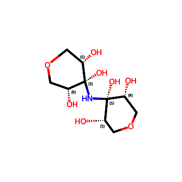 O[C@@H]1COC[C@H](O)[C@@]1(O)N[C@@]1(O)[C@H](O)COC[C@@H]1O